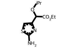 CCOC(=O)C(OC(C)C)c1csc(N)n1